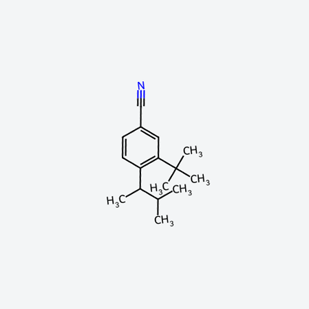 CC(C)C(C)c1ccc(C#N)cc1C(C)(C)C